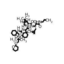 C=CCNC(=O)C(=O)[C@H](CC1CC1)NC(=O)[C@@H]1[C@@H]2[C@H](CN1C(=O)[C@@H](NC(=O)NC1(CS(=O)(=O)C(C)(C)COC3CCCCO3)CCCCC1)C1(C)CCCCC1)C2(C)C